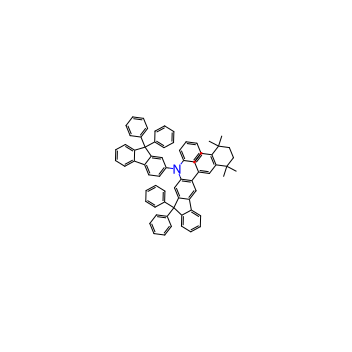 CC1(C)CCC(C)(C)c2cc(-c3cc4c(cc3N(c3ccccc3)c3ccc5c(c3)C(c3ccccc3)(c3ccccc3)c3ccccc3-5)C(c3ccccc3)(c3ccccc3)c3ccccc3-4)ccc21